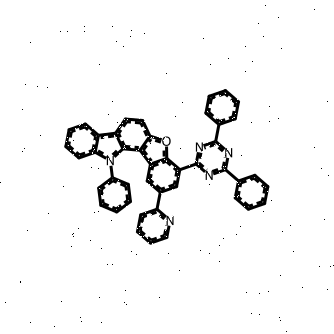 c1ccc(-c2nc(-c3ccccc3)nc(-c3cc(-c4ccccn4)cc4c3oc3ccc5c6ccccc6n(-c6ccccc6)c5c34)n2)cc1